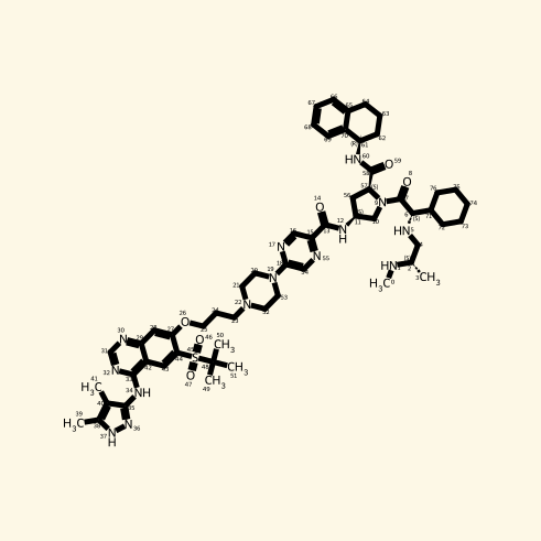 CN[C@@H](C)CN[C@H](C(=O)N1C[C@@H](NC(=O)c2cnc(N3CCN(CCCOc4cc5ncnc(Nc6n[nH]c(C)c6C)c5cc4S(=O)(=O)C(C)(C)C)CC3)cn2)C[C@H]1C(=O)N[C@@H]1CCCc2ccccc21)C1CCCCC1